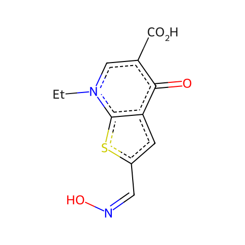 CCn1cc(C(=O)O)c(=O)c2cc(/C=N\O)sc21